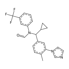 Cc1ccc(C(C2CC2)N(C=O)c2cccc(C(F)(F)F)c2)cc1-n1ccnc1